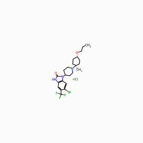 CCCO[C@H]1CC[C@](C)(N2CCC(n3c(=O)[nH]c4cc(C(F)(F)F)c(Br)cc43)CC2)CC1.Cl